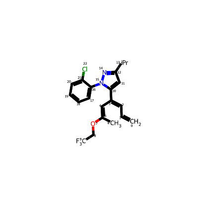 C=C/C=C(\C=C(/C)OCC(F)(F)F)c1cc(C(C)C)nn1-c1ccccc1Cl